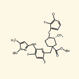 Cc1cc(Nc2nc(CC3(C(=O)OC(C)(C)C)CCN(Cc4cccc(Cl)c4F)[C@H](C)C3)c(F)cc2F)nn1C(C)(C)C